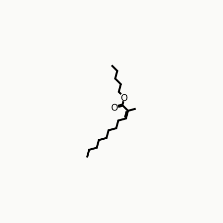 CCCCCCCCC=C(C)C(=O)OCCCCC